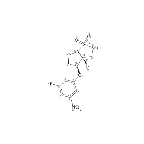 O=[N+]([O-])c1cc(F)cc(O[C@H]2CCN3[C@@H]2CNS3(=O)=O)c1